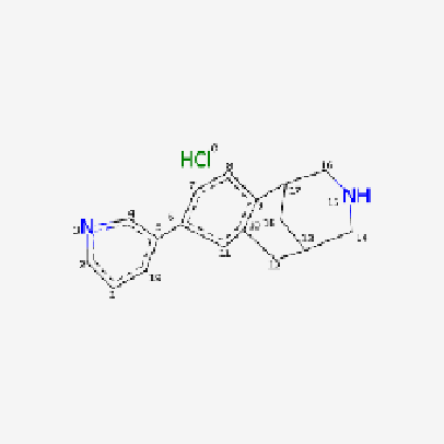 Cl.c1cncc(-c2ccc3c(c2)CC2CNCC3C2)c1